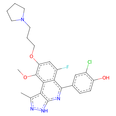 COc1c(OCCCN2CCCC2)cc(F)c2c(-c3ccc(O)c(Cl)c3)nc3[nH]nc(C)c3c12